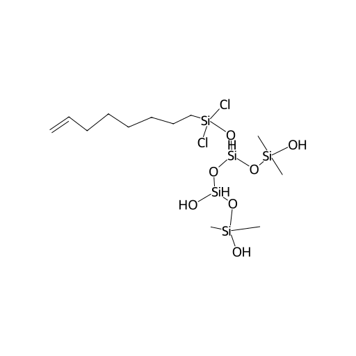 C=CCCCCCC[Si](Cl)(Cl)O[SiH](O[SiH](O)O[Si](C)(C)O)O[Si](C)(C)O